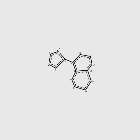 c1ccc2c(-c3cscn3)cccc2c1